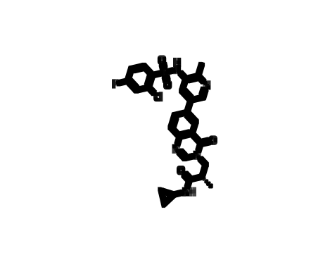 Cc1ncc(-c2ccc3ncn(C[C@H](C)C(=O)NC4CC4)c(=O)c3c2)cc1NS(=O)(=O)c1ccc(F)cc1Cl